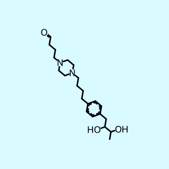 CC(O)C(O)Cc1ccc(CCCCN2CCN(CCCC=O)CC2)cc1